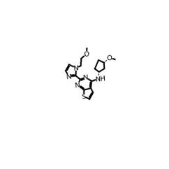 COCCn1ccnc1-c1nc(N[C@@H]2CC[C@H](OC)C2)c2ccsc2n1